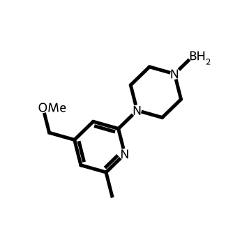 BN1CCN(c2cc(COC)cc(C)n2)CC1